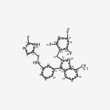 Cc1ncc(CNc2cccc(-c3c4cccc(C(F)(F)F)c4nn3Cc3c(F)cc(F)cc3F)c2)[nH]1